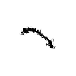 CC(=O)c1c(C)c2cnc(Nc3ccc(N4CCN(CC(=O)NCCOCCOCCOCCOCCOCCNc5ccc(C(=O)Nc6nc(Br)c(C)s6)c(C)c5)CC4)cn3)nc2n(C2CCCC2)c1=O